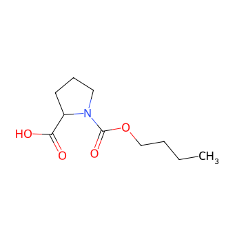 CCCCOC(=O)N1CCCC1C(=O)O